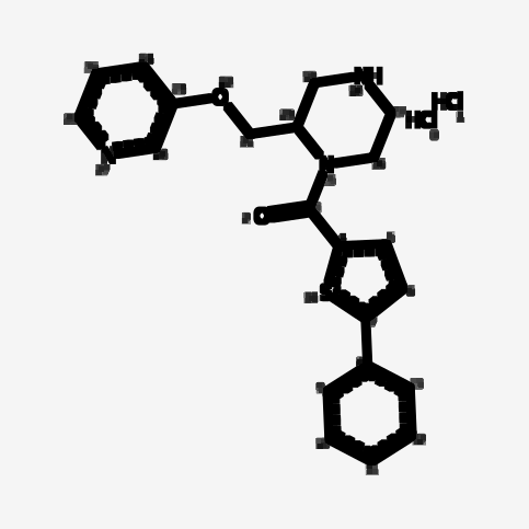 Cl.Cl.O=C(c1ccc(-c2ccccc2)s1)N1CCNCC1COc1cccnc1